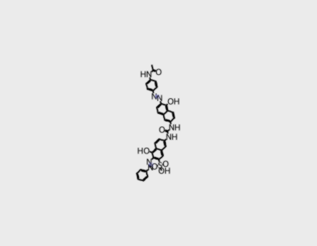 CC(=O)Nc1ccc(/N=N/c2ccc3cc(NC(=O)Nc4ccc5c(O)c(/N=N/c6ccccc6)c(S(=O)(=O)O)cc5c4)ccc3c2O)cc1